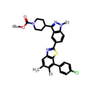 CCc1c(C)cc2nc(-c3ccc4c(c3)c(C3CCN(C(=O)OC(C)(C)C)CC3)nn4CC)sc2c1-c1ccc(Cl)cc1